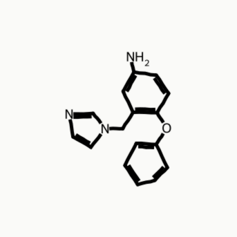 Nc1ccc(Oc2ccccc2)c(Cn2ccnc2)c1